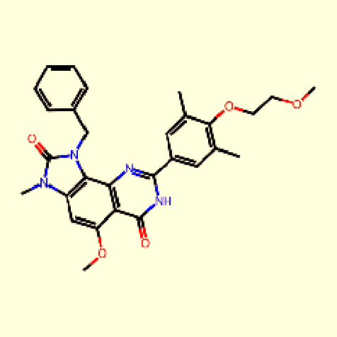 COCCOc1c(C)cc(-c2nc3c(c(OC)cc4c3n(Cc3ccccc3)c(=O)n4C)c(=O)[nH]2)cc1C